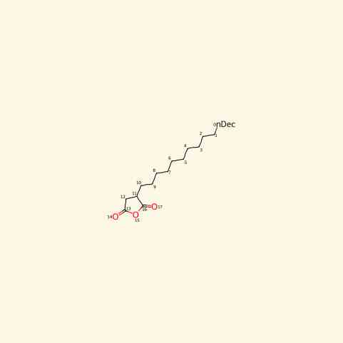 CCCCCCCCCCCCCCCCCCCCC1CC(=O)OC1=O